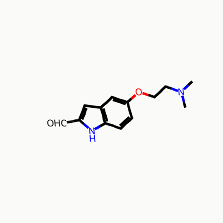 CN(C)CCOc1ccc2[nH]c(C=O)cc2c1